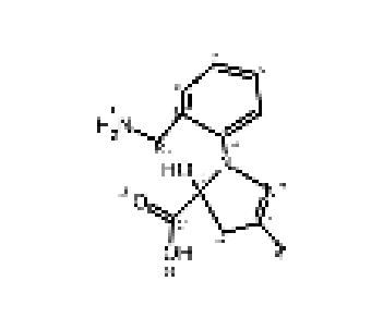 CC1=NN(c2ccccc2CN)C(O)(C(=O)O)C1